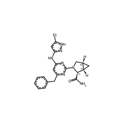 CCc1cc(Nc2cc(Cc3ccccc3)nc(N3C[C@@H]4C[C@@H]4[C@H]3C(N)=O)n2)n[nH]1